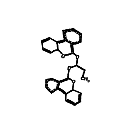 CCC(OC1=c2ccccc2=C2C=CC=CC2O1)OC1=c2ccccc2=C2C=CC=CC2O1